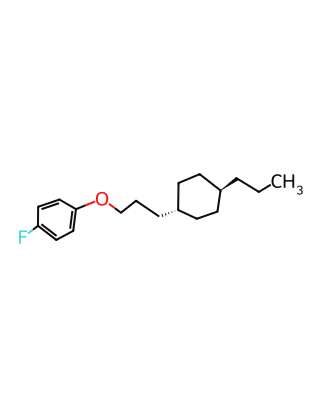 CCC[C@H]1CC[C@H](CCCOc2ccc(F)cc2)CC1